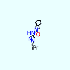 CC(C)CCn1cc(NC(=O)N2Cc3ccccc3C2)cn1